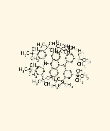 CC(C)(C)c1cc(N(c2cc([Si](C)(C)C)cc([Si](C)(C)C)c2)c2c3ccccc3c(N(c3cc(C(C)(C)C)cc(C(C)(C)C)c3)c3cc([Si](C)(C)C)cc([Si](C)(C)C)c3)c3cc(C(C)(C)C)ccc23)cc(C(C)(C)C)c1